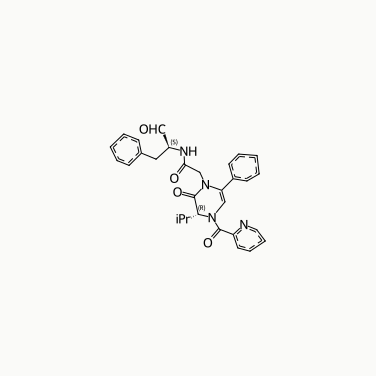 CC(C)[C@@H]1C(=O)N(CC(=O)N[C@H](C=O)Cc2ccccc2)C(c2ccccc2)=CN1C(=O)c1ccccn1